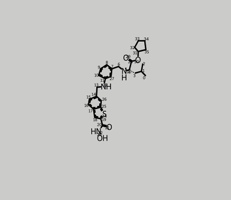 CC(C)C[C@H](NCc1cccc(NCc2ccc3cc(C(=O)NO)sc3c2)c1)C(=O)OC1CCCC1